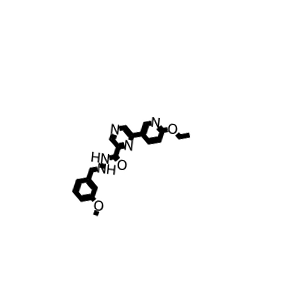 CCOc1ccc(-c2cncc(C(=O)NNCc3cccc(OC)c3)n2)cn1